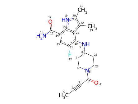 CC#CC(=O)N1CCC(Nc2c(F)cc(C(N)=O)c3[nH]c(C)c(C)c23)CC1